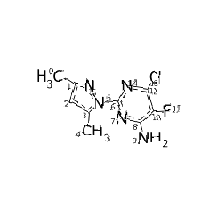 Cc1cc(C)n(-c2nc(N)c(F)c(Cl)n2)n1